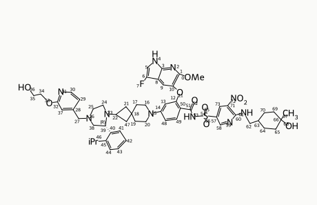 COc1nc2[nH]cc(F)c2cc1Oc1cc(N2CCC3(CC2)CC(N2CCN(Cc4ccnc(OCCO)c4)C[C@H]2c2ccccc2C(C)C)C3)ccc1C(=O)NS(=O)(=O)c1cnc(NCC2CCC(C)(O)CC2)c([N+](=O)[O-])c1